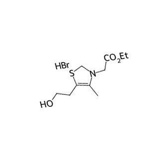 Br.CCOC(=O)CN1CSC(CCO)=C1C